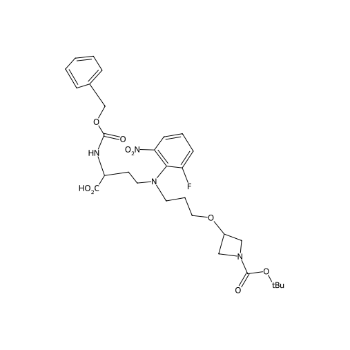 CC(C)(C)OC(=O)N1CC(OCCCN(CCC(NC(=O)OCc2ccccc2)C(=O)O)c2c(F)cccc2[N+](=O)[O-])C1